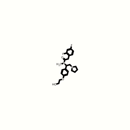 CN(C(=O)Cc1ccc(F)cc1F)C(CN1CCCC1)c1ccc(OCCO)cc1